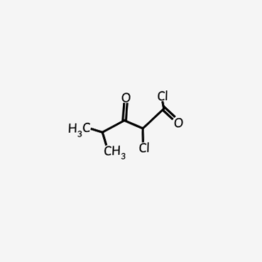 CC(C)C(=O)C(Cl)C(=O)Cl